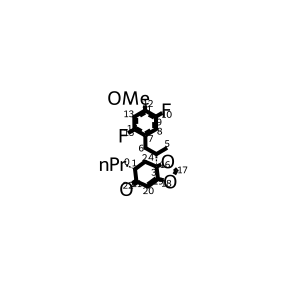 CCC[C@@H]1C[C@@]2(C(C)Cc3cc(F)c(OC)cc3F)OCOC2=CC1=O